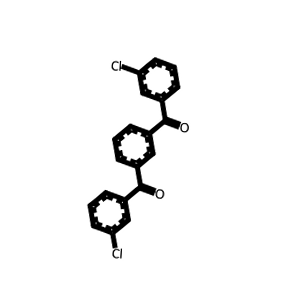 O=C(c1cccc(Cl)c1)c1cccc(C(=O)c2cccc(Cl)c2)c1